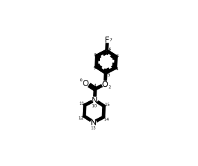 O=C(Oc1ccc(F)cc1)N1CC[N]CC1